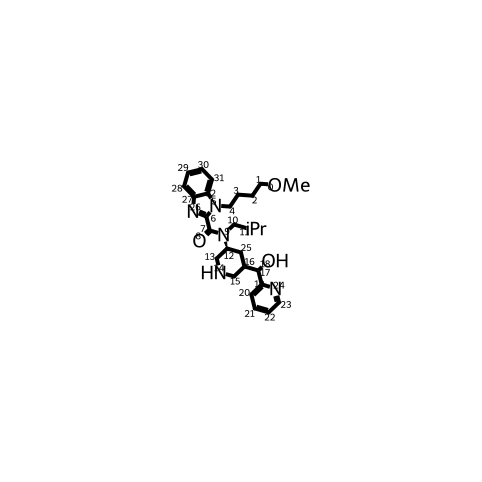 COCCCCn1c(C(=O)N(CC(C)C)[C@@H]2CNCC(C(O)c3ccccn3)C2)nc2ccccc21